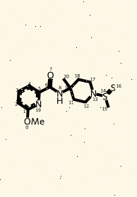 COc1cccc(C(=O)NC2(C)CCN(S(C)=S)CC2)n1